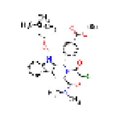 CN(C)C(=O)[C@H]1Cc2c(n(COCC[Si](C)(C)C)c3ccccc23)[C@H](c2ccc(C(=O)OC(C)(C)C)cc2)N1C(=O)CCl